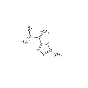 C=C(c1ccc(C)s1)N(C)C(C)=O